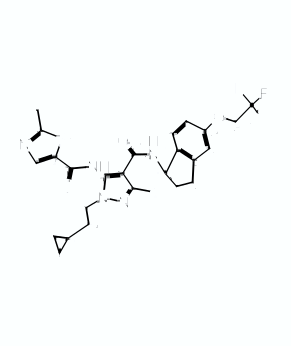 Cc1ncc(C(=O)Nc2c3c(nn2CCC2CC2)C[C@]2(CCc4cc(OCC(F)(F)F)ccc42)NC3=O)s1